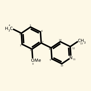 COc1cc(C)ccc1-c1ccnc(C)c1